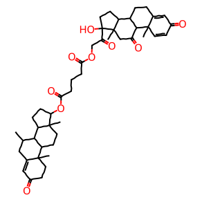 CC1CC2=CC(=O)CCC2(C)C2CCC3(C)C(OC(=O)CCCC(=O)OCC(=O)C4(O)CCC5C6CCC7=CC(=O)C=CC7(C)C6C(=O)CC54C)CCC3C12